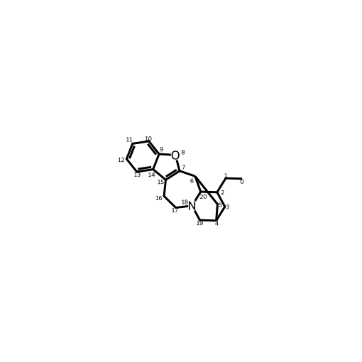 CCC1CC2CC3c4oc5ccccc5c4CCN(C2)C13